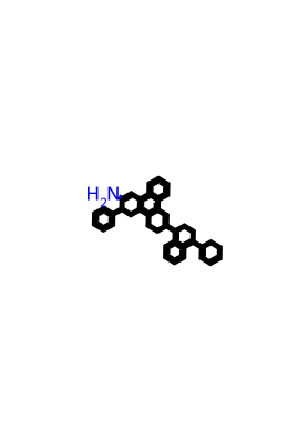 NC1=Cc2c(c3c(c4ccccc24)C=C(C2=c4ccccc4=C(C4=CC=CCC4)CC2)CC3)CC1c1ccccc1